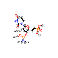 CCCOP(OC1[C@@H](/C=C/P(=O)(OCC)OCC)O[C@@H](n2ccc(=O)[nH]c2=O)[C@H]1OC)N(C(C)C)C(C)C